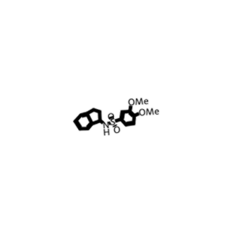 COc1ccc(S(=O)(=O)NC2CCc3ccccc32)cc1OC